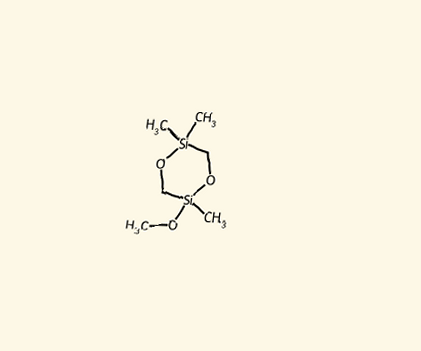 CO[Si]1(C)CO[Si](C)(C)CO1